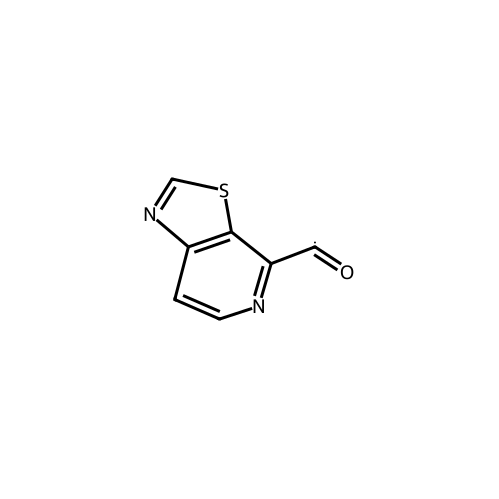 O=[C]c1nccc2ncsc12